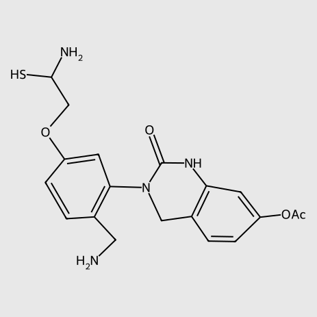 CC(=O)Oc1ccc2c(c1)NC(=O)N(c1cc(OCC(N)S)ccc1CN)C2